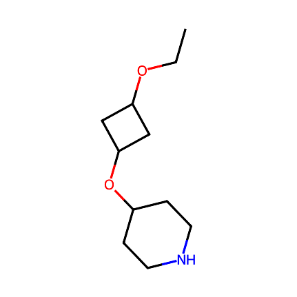 CCOC1CC(OC2CCNCC2)C1